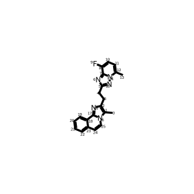 Cc1c(CCc2nc3c(F)ccc(C)n3n2)nc2c3ccccc3ccn12